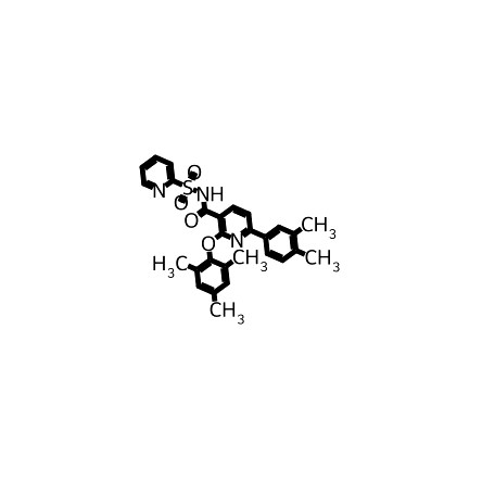 Cc1cc(C)c(Oc2nc(-c3ccc(C)c(C)c3)ccc2C(=O)NS(=O)(=O)c2ccccn2)c(C)c1